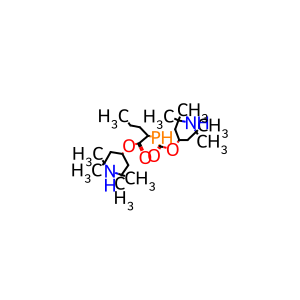 CCCC(PC(=O)OC1CC(C)(C)NC(C)(C)C1)C(=O)OC1CC(C)(C)NC(C)(C)C1